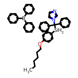 CCCCCCOc1ccc([SiH2]C(c2ccccc2)(c2ccccc2)n2ccnc2)cc1.c1ccc(B(c2ccccc2)c2ccccc2)cc1